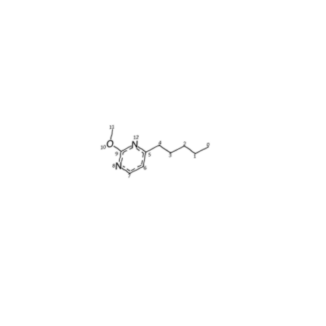 CCCCCc1ccnc(OC)n1